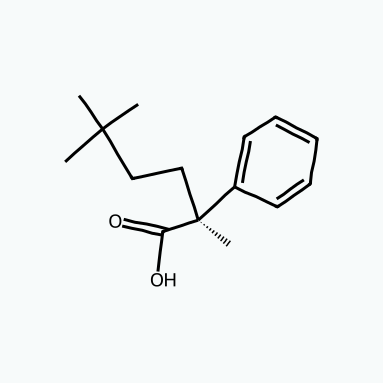 CC(C)(C)CC[C@](C)(C(=O)O)c1ccccc1